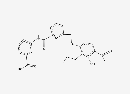 CCCc1c(OCc2cccc(C(=O)Nc3cccc(C(=O)O)c3)n2)ccc(C(C)=O)c1O